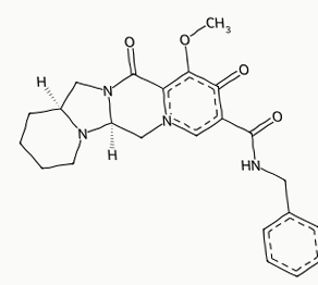 COc1c2n(cc(C(=O)NCc3ccccc3)c1=O)C[C@@H]1N(C[C@@H]3CCCCN31)C2=O